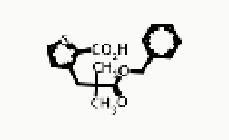 CC(C)(Cc1ccsc1C(=O)O)C(=O)OCc1ccccc1